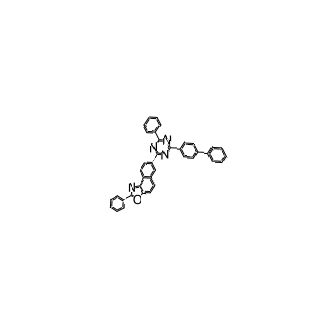 c1ccc(-c2ccc(-c3nc(-c4ccccc4)nc(-c4ccc5c(ccc6oc(-c7ccccc7)nc65)c4)n3)cc2)cc1